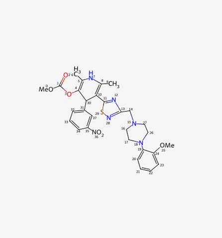 COC(=O)OC1=C(C)NC(C)=C(c2nc(CN3CCN(c4ccccc4OC)CC3)ns2)C1c1cccc([N+](=O)[O-])c1